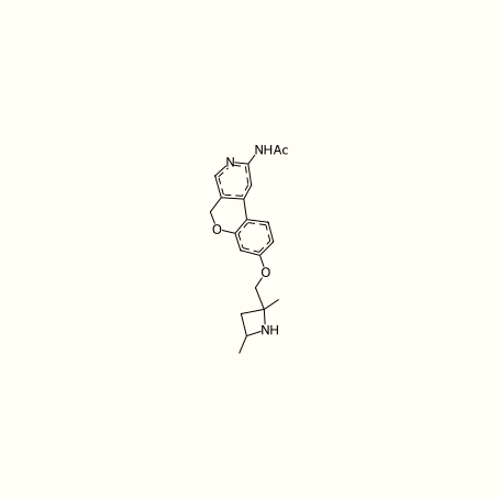 CC(=O)Nc1cc2c(cn1)COc1cc(OCC3(C)CC(C)N3)ccc1-2